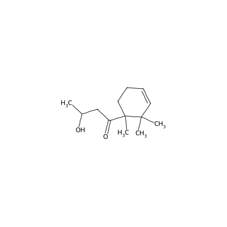 CC(O)CC(=O)C1(C)CCC=CC1(C)C